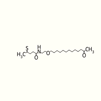 CC(=O)CCCCCCCCCCCOCCNC(=O)CCC(C)=S